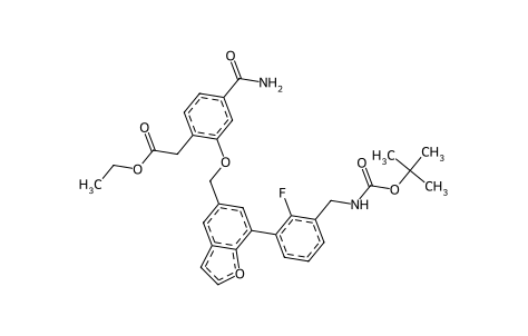 CCOC(=O)Cc1ccc(C(N)=O)cc1OCc1cc(-c2cccc(CNC(=O)OC(C)(C)C)c2F)c2occc2c1